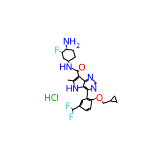 Cc1[nH]c2c(-c3cc(C(F)F)ccc3OCC3CC3)ncnc2c1C(=O)N[C@H]1CC[C@H](N)[C@H](F)C1.Cl